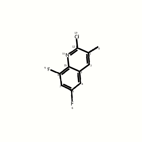 Cc1cc2cc(F)cc(F)c2nc1Cl